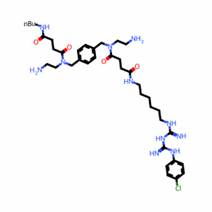 CCCCNC(=O)CCC(=O)N(CCN)Cc1ccc(CN(CCN)C(=O)CCC(=O)NCCCCCCNC(=N)NC(=N)Nc2ccc(Cl)cc2)cc1